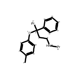 Cc1ccc(OC(CCNC(C)C)(c2ccccc2)C(C)C)cc1